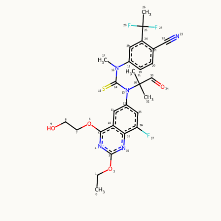 CCOc1nc(OCCO)c2cc(N(C(=S)N(C)c3ccc(C#N)c(C(C)(F)F)c3)C(C)(C)C=O)cc(F)c2n1